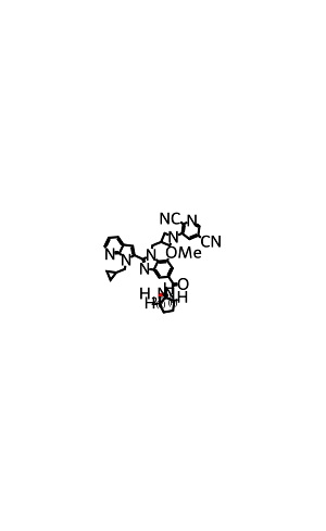 COc1cc(C(=O)N2C[C@H]3CC[C@@H]2[C@@H]3N)cc2nc(-c3cc4cccnc4n3CC3CC3)n(CC3CN(c4cc(C#N)cnc4C#N)C3)c12